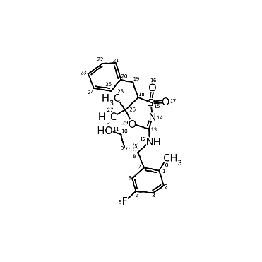 Cc1ccc(F)cc1[C@H](CCO)NC1=NS(=O)(=O)C(Cc2ccccc2)C(C)(C)O1